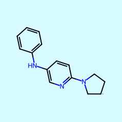 [CH]1CCN(c2ccc(Nc3ccccc3)cn2)C1